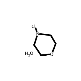 ClN1CCOCC1.O